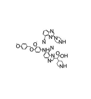 COc1ccc(COc2ccc(Nc3ccc4ncc(C(C(=O)O)C5CCNCC5)nc4c3C#N)cc2OC)cc1.N#Cc1cccc2ncc(N3CCNCC3)nc12